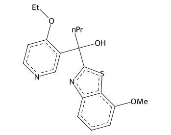 CCCC(O)(c1nc2cccc(OC)c2s1)c1cnccc1OCC